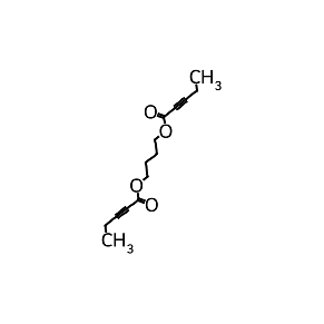 CCC#CC(=O)OCCCCOC(=O)C#CCC